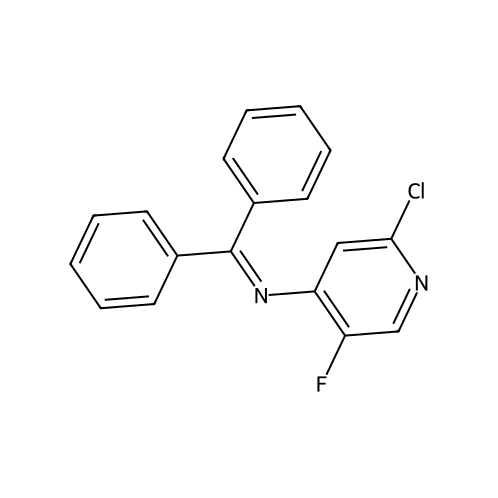 Fc1cnc(Cl)cc1N=C(c1ccccc1)c1ccccc1